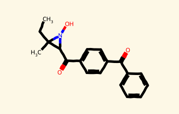 CCC1(C)C(C(=O)c2ccc(C(=O)c3ccccc3)cc2)N1O